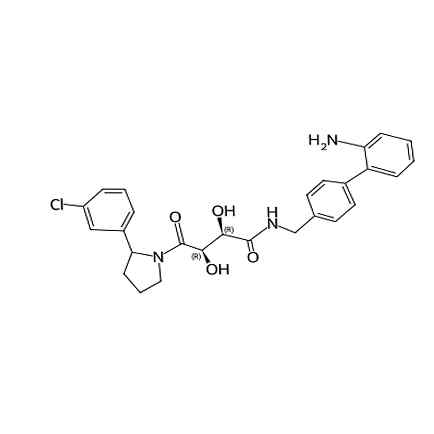 Nc1ccccc1-c1ccc(CNC(=O)[C@H](O)[C@@H](O)C(=O)N2CCCC2c2cccc(Cl)c2)cc1